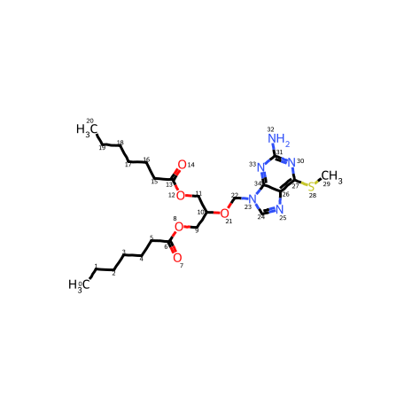 CCCCCCC(=O)OCC(COC(=O)CCCCCC)OCn1cnc2c(SC)nc(N)nc21